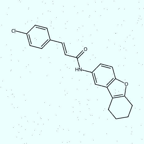 O=C(/C=C/c1ccc(Cl)cc1)Nc1ccc2oc3c(c2c1)CCCC3